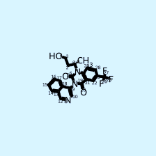 C[C@@H](CCO)n1c(=O)n(-c2cncc3ccccc23)c(=O)c2cc(C(F)(F)F)ccc21